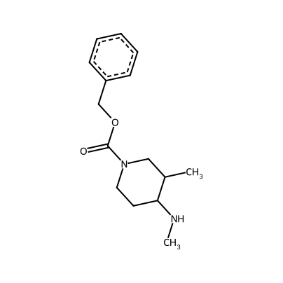 CNC1CCN(C(=O)OCc2ccccc2)CC1C